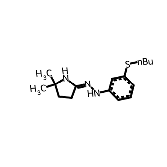 CCCCSc1cccc(NN=C2CCC(C)(C)N2)c1